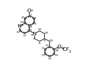 [O]c1ccc2c(N3CCC(Cc4ccccc4OC(F)(F)F)CC3)ccnc2c1